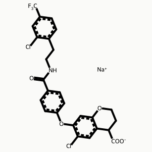 O=C(NCCc1ccc(C(F)(F)F)cc1Cl)c1ccc(Oc2cc3c(cc2Cl)C(C(=O)[O-])CCO3)cc1.[Na+]